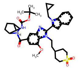 COc1cc(C(=O)N2CC3CCC2[C@@H]3NC(=O)OC(C)(C)C)cc2nc(-c3cc4ccccc4n3CC3CC3)n(CCC3CCS(=O)(=O)CC3)c12